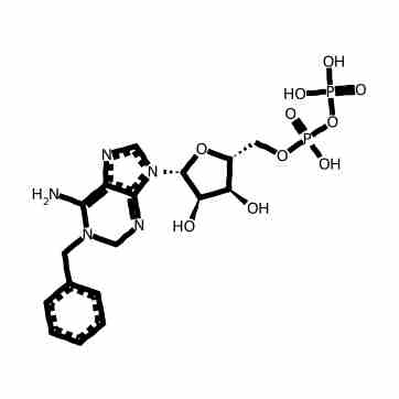 NC1=c2ncn([C@@H]3O[C@H](COP(=O)(O)OP(=O)(O)O)[C@@H](O)[C@H]3O)c2=NCN1Cc1ccccc1